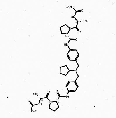 COC(=O)N[C@@H](C(=O)N1CCC[C@H]1C(=O)Nc1ccc(CN(Cc2ccc(NC(=O)[C@@H]3CCCN3C(=O)[C@H](NC(=O)OC)C(C)(C)C)cc2)C2CCCC2)cc1)C(C)(C)C